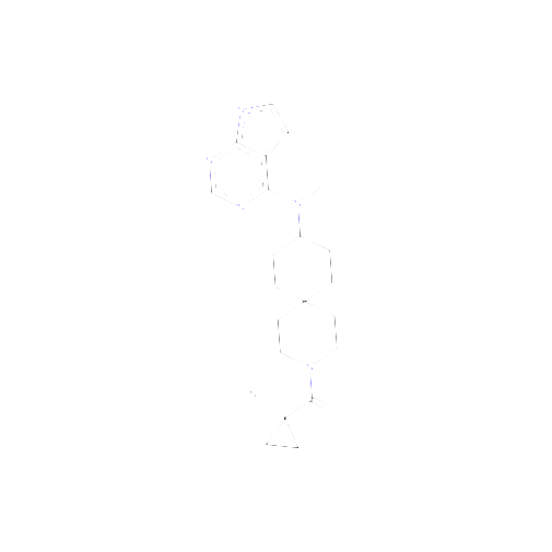 CN(c1ncnc2[nH]ccc12)C1CCC2(CC1)CCN(C(=O)C1(C#N)CC1)CC2